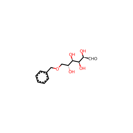 O=C[C@H](O)[C@@H](O)[C@H](O)[C@H](O)COCc1ccccc1